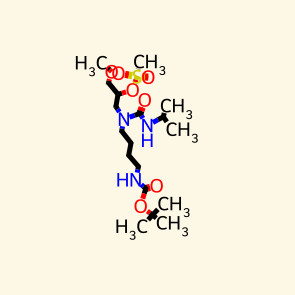 COCC(CN(CCCCNC(=O)OC(C)(C)C)C(=O)NC(C)C)OS(C)(=O)=O